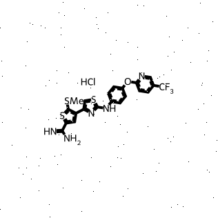 CSc1sc(C(=N)N)cc1-c1csc(Nc2ccc(Oc3ccc(C(F)(F)F)cn3)cc2)n1.Cl